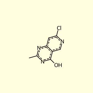 Cc1nc(O)c2cnc(Cl)cc2n1